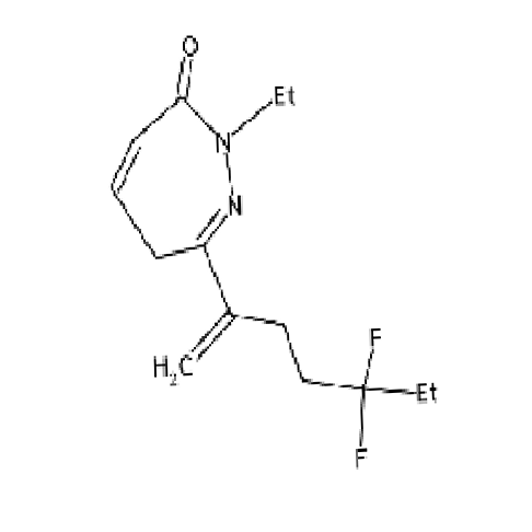 C=C(CCC(F)(F)CC)C1=NN(CC)C(=O)C=CC1